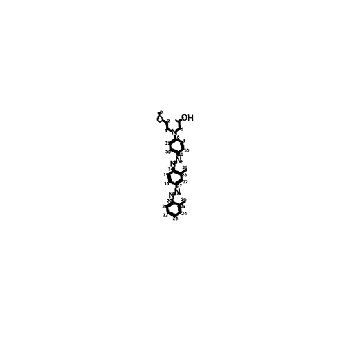 COCCN(CCO)c1ccc(N=Nc2ccc(N=Nc3ccccc3C)cc2C)cc1